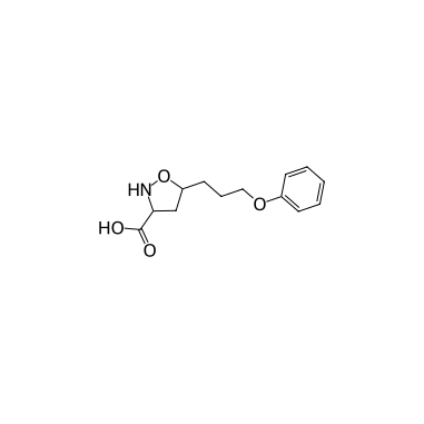 O=C(O)C1CC(CCCOc2ccccc2)ON1